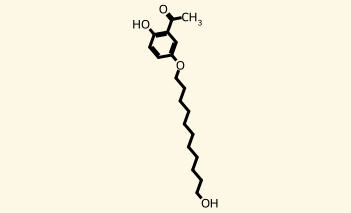 CC(=O)c1cc(OCCCCCCCCCCCO)ccc1O